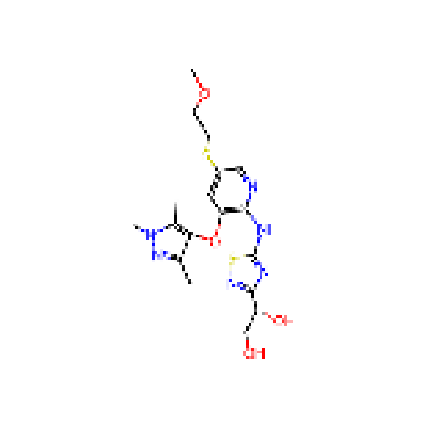 COCCSc1cnc(Nc2nc([C@H](O)CO)ns2)c(Oc2c(C)nn(C)c2C)c1